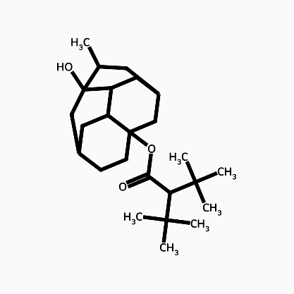 CC1CC2CC3C4CC(CCC4(OC(=O)C(C(C)(C)C)C(C)(C)C)C2)CC13O